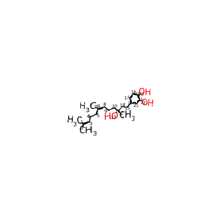 CC(C)=CCCC(C)=CCCC(C)(O)CCc1ccc(O)c(O)c1